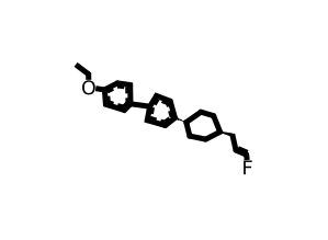 CCOc1ccc(-c2ccc([C@H]3CC[C@H](CC=CF)CC3)cc2)cc1